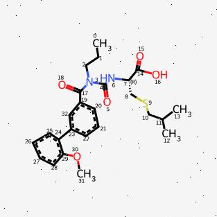 CCCN(C(=O)N[C@@H](CSCC(C)C)C(=O)O)C(=O)c1cccc(-c2ccccc2OC)c1